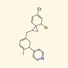 CCC1=CC(Br)C2(C=C1)CC2CC1=CC=C(C)C(c2ccncc2)C1